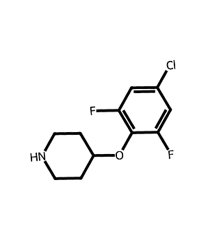 Fc1cc(Cl)cc(F)c1OC1CCNCC1